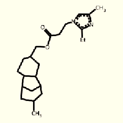 CCc1nc(C)cn1CCC(=O)OCC1CCC2C3CC(C)CC(C3)C2C1